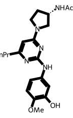 CCCc1cc(N2CC[C@H](NC(C)=O)C2)nc(Nc2ccc(OC)c(O)c2)n1